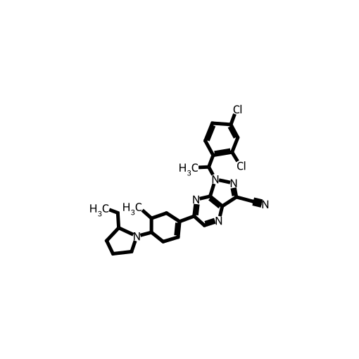 CCC1CCCN1C1CC=C(c2cnc3c(C#N)nn(C(C)c4ccc(Cl)cc4Cl)c3n2)CC1C